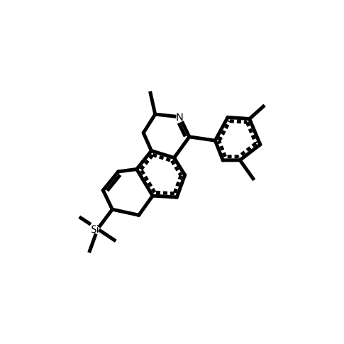 Cc1cc(C)cc(C2=NC(C)Cc3c2ccc2c3C=CC([Si](C)(C)C)C2)c1